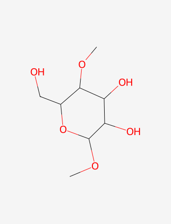 COC1OC(CO)C(OC)C(O)C1O